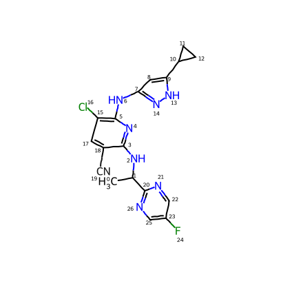 CC(Nc1nc(Nc2cc(C3CC3)[nH]n2)c(Cl)cc1C#N)c1ncc(F)cn1